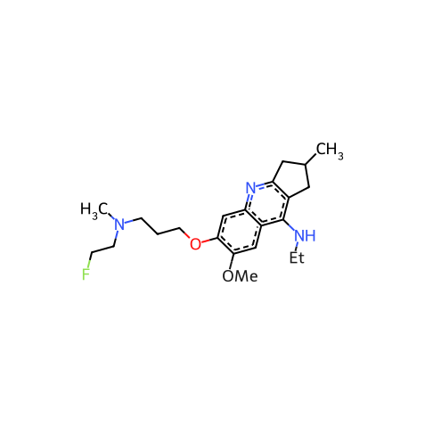 CCNc1c2c(nc3cc(OCCCN(C)CCF)c(OC)cc13)CC(C)C2